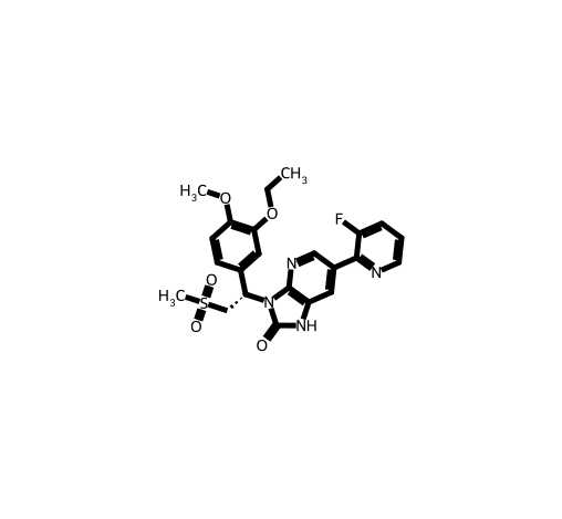 CCOc1cc([C@@H](CS(C)(=O)=O)n2c(=O)[nH]c3cc(-c4ncccc4F)cnc32)ccc1OC